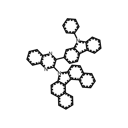 c1ccc(-n2c3ccccc3c3ccc(-c4nc5ccccc5nc4-n4c5ccc6ccccc6c5c5c6ccccc6ccc54)cc32)cc1